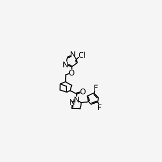 O=C(C1CC(COc2cc(Cl)ncn2)C2CC1C2)N1N=CCC1c1cc(F)cc(F)c1